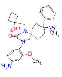 CN[C@]1(c2ccccc2)CC[C@]2(CC1)CN(c1ccc(N)cc1OC)C(=O)N2CC1(O)CCC1